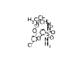 CC(C)(C)N1CC(OC(c2ccc(Cl)cc2)c2ccccc2Cl)C1.NC(=O)SC(N)=O